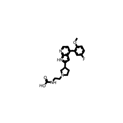 COc1ccc(F)cc1-c1ccnc2[nH]c(C3CCN(CCNC(=O)O)C3)cc12